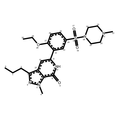 CCCc1nn(C)c2c(=O)[nH]c(-c3cc(S(=O)(=O)N4CCN(C)CC4)ccc3OCC)cc12